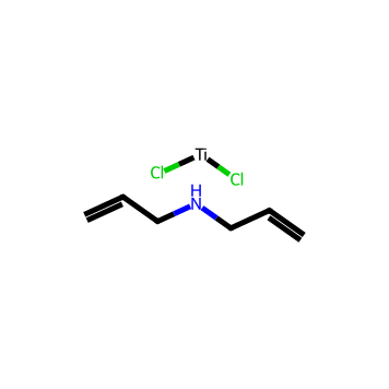 C=CCNCC=C.[Cl][Ti][Cl]